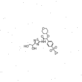 O=C(Nc1nc(C(O)CO)ns1)C(OC1CCOCC1)c1ccc(S(=O)(=O)C2CC2)cc1